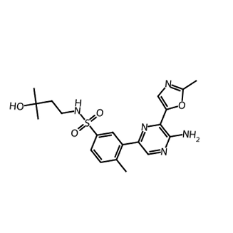 Cc1ncc(-c2nc(-c3cc(S(=O)(=O)NCCC(C)(C)O)ccc3C)cnc2N)o1